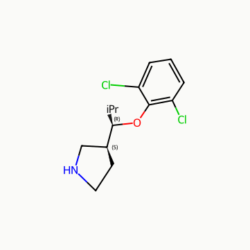 CC(C)[C@@H](Oc1c(Cl)cccc1Cl)[C@H]1CCNC1